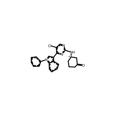 O=C1CCC[C@@H](Nc2ncc(Cl)c(-c3cn(-c4ccccc4)c4ccccc34)n2)C1